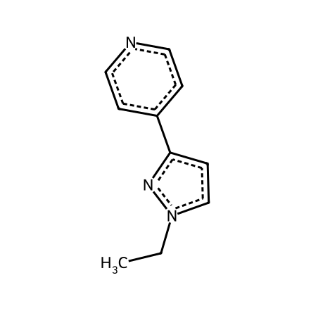 CCn1ccc(-c2ccncc2)n1